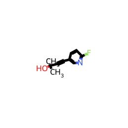 CC(C)(O)C#Cc1ccc(F)nc1